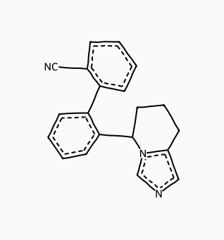 N#Cc1ccccc1-c1ccccc1C1CCCc2cncn21